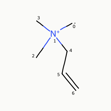 [CH2][N+](C)(C)CC=C